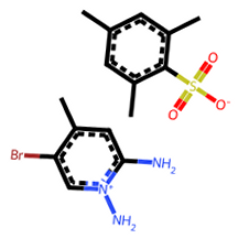 Cc1cc(C)c(S(=O)(=O)[O-])c(C)c1.Cc1cc(N)[n+](N)cc1Br